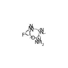 CCn1ncc2c1-c1cnc(N)c(c1)OC(C)c1cc(F)ccc1-n1nncc1C2